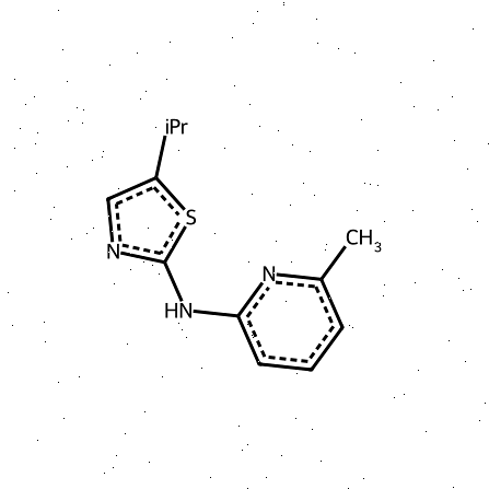 Cc1cccc(Nc2ncc(C(C)C)s2)n1